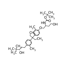 CCC(CC)(c1ccc(CC[C@H](O)C(C)(C)C)c(C)c1)c1ccc(OCC(CCO)NC(=O)OC(C)(C)C)c(C)c1